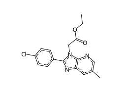 CCOC(=O)Cn1c(-c2ccc(Cl)cc2)nc2cc(C)cnc21